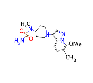 COc1c(C)ccc2c(N3CCC(N(C)S(N)(=O)=O)CC3)cnn12